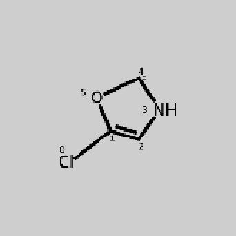 ClC1=CN[C]O1